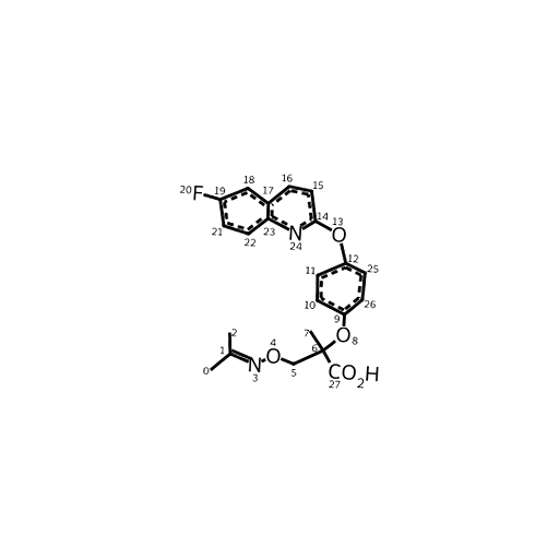 CC(C)=NOCC(C)(Oc1ccc(Oc2ccc3cc(F)ccc3n2)cc1)C(=O)O